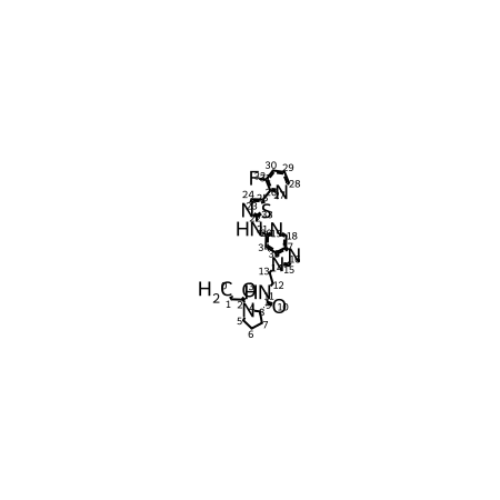 C=CC(=O)N1CCC[C@H]1C(=O)NCCn1cnc2cnc(Nc3ncc(-c4ncccc4F)s3)cc21